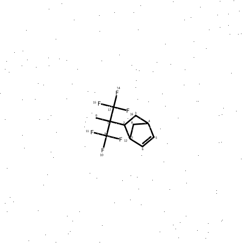 CC(C1CC2C=CC1C2)(C(F)(F)F)C(F)(F)F